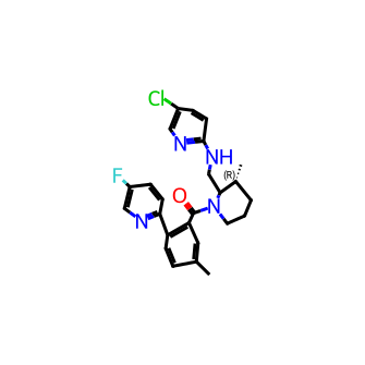 Cc1ccc(-c2ccc(F)cn2)c(C(=O)N2CCC[C@@H](C)C2CNc2ccc(Cl)cn2)c1